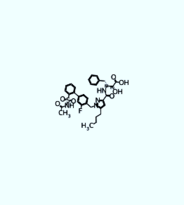 CCCCc1cc(C(=O)N[C@H](Cc2ccccc2)[C@@H](O)C(=O)O)nn1Cc1ccc(-c2ccccc2S(=O)(=O)NC(C)=O)cc1F